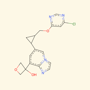 OC1(c2cc(C3CC3COc3cc(Cl)ncn3)cn3ccnc23)COC1